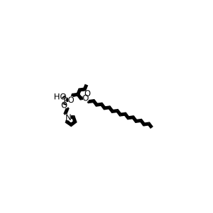 CCCCCCCCCCCCCCCCCOCC(COP(O)OCCN1CCCC1)CC(C)=O